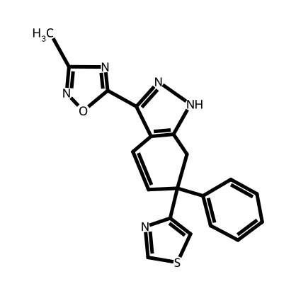 Cc1noc(-c2n[nH]c3c2C=CC(c2ccccc2)(c2cscn2)C3)n1